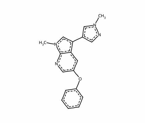 Cn1cc(-c2cn(C)c3ncc(Oc4ccccc4)cc23)cn1